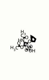 CC(=O)N[C@@H]1C(=O)N(S(=O)(=O)O)[C@H]1OC(C)=O.c1cc2cc-2c1